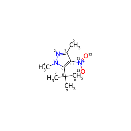 Cc1nn(C)c(C(C)(C)C)c1[N+](=O)[O-]